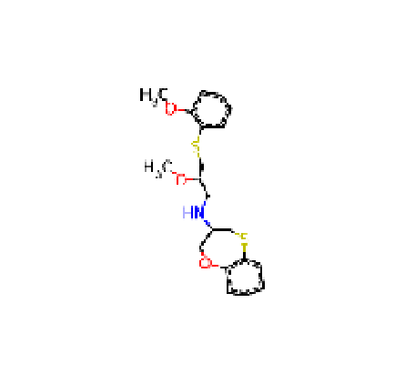 COc1ccccc1SC[C@@H](CN[C@@H]1COc2ccccc2SC1)OC